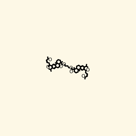 CC(=O)/C=C\CC(=O)c1cc2c(cc1C(C)C)CCC1C(C)(C(=O)OCCCOC(=O)C3(C)CCCC4(C)c5cc(C(=O)C/C=C\C(C)=O)c(C(C)C)cc5CCC34)CCCC21C